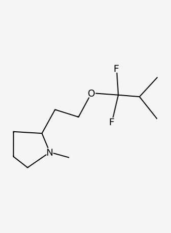 CC(C)C(F)(F)OCCC1CCCN1C